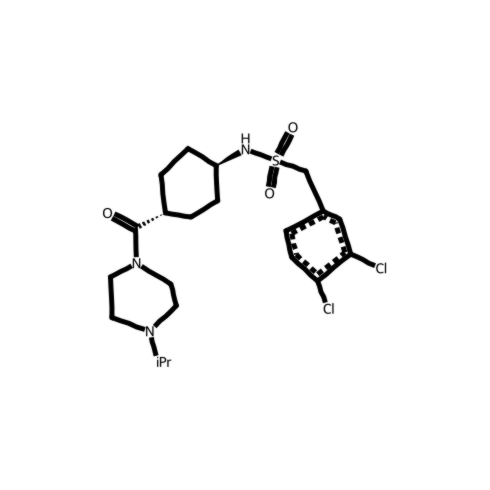 CC(C)N1CCN(C(=O)[C@H]2CC[C@H](NS(=O)(=O)Cc3ccc(Cl)c(Cl)c3)CC2)CC1